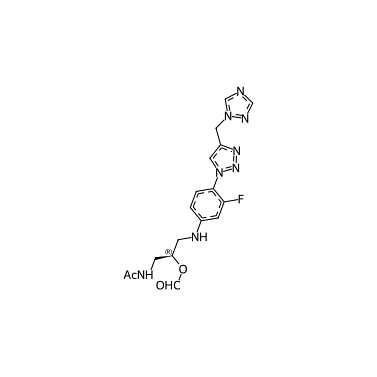 CC(=O)NC[C@@H](CNc1ccc(-n2cc(Cn3cncn3)nn2)c(F)c1)OC=O